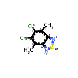 Cc1c(Cl)c(Cl)c(C)c2nsnc12